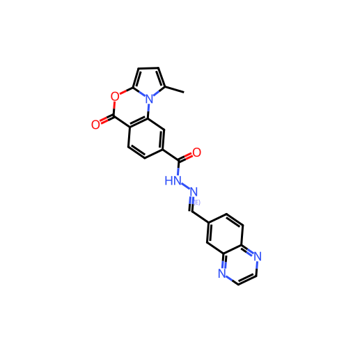 Cc1ccc2oc(=O)c3ccc(C(=O)N/N=C/c4ccc5nccnc5c4)cc3n12